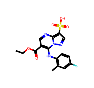 CCOC(=O)c1cnc2c(S(=O)(=O)O)cnn2c1Nc1ccc(F)cc1C